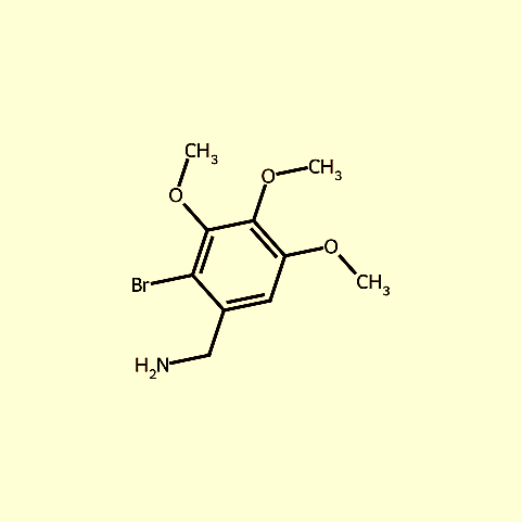 COc1cc(CN)c(Br)c(OC)c1OC